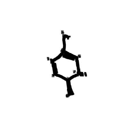 C=C1C=NC(C(C)C)=CN1